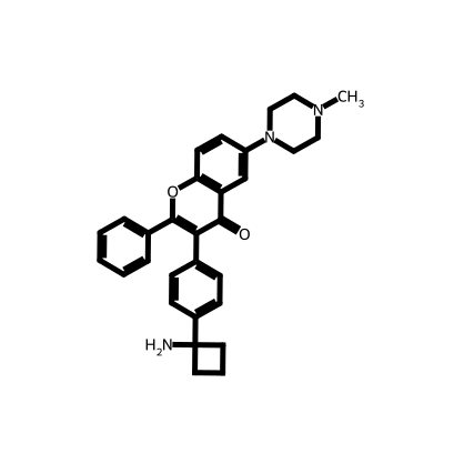 CN1CCN(c2ccc3oc(-c4ccccc4)c(-c4ccc(C5(N)CCC5)cc4)c(=O)c3c2)CC1